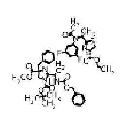 CCOC(=O)[C@H]1CSC(C(C)N(C(C)=O)c2cc(F)cc(F)c2)=N1.COC(=O)C1(Cc2ccccc2)CN(C(=O)OC(C)(C)C)C(C(C)NC(=O)OCc2ccccc2)=N1